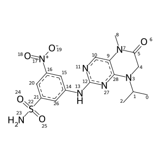 CC(C)N1CC(=O)N(C)c2cnc(Nc3cc([N+](=O)[O-])cc(S(N)(=O)=O)c3)nc21